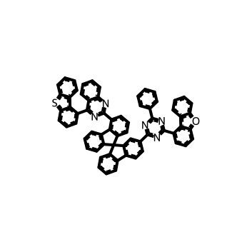 c1ccc(-c2nc(-c3ccc4c(c3)C3(c5ccccc5-4)c4ccccc4-c4c(-c5nc(-c6cccc7sc8ccccc8c67)c6ccccc6n5)cccc43)nc(-c3cccc4oc5ccccc5c34)n2)cc1